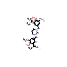 Cc1cc(CN2CCCN(Cc3cc(C)c(O)c(C(C)C)c3)C2)cc(C(C)C)c1O